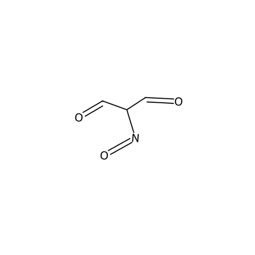 O=CC(C=O)N=O